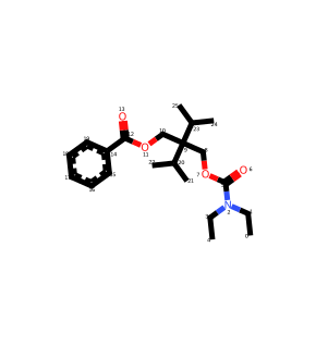 CCN(CC)C(=O)OCC(COC(=O)c1ccccc1)(C(C)C)C(C)C